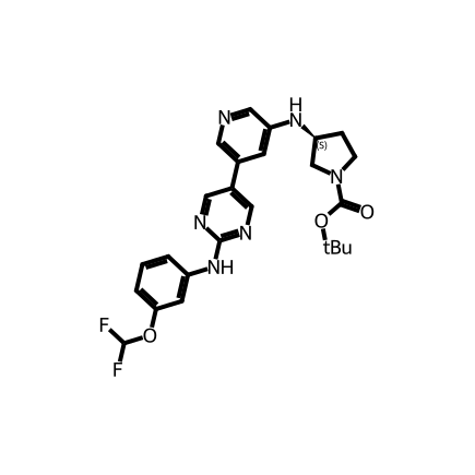 CC(C)(C)OC(=O)N1CC[C@H](Nc2cncc(-c3cnc(Nc4cccc(OC(F)F)c4)nc3)c2)C1